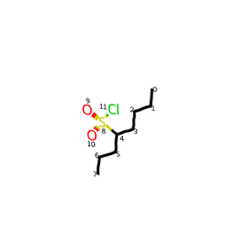 CCCCC(CCC)S(=O)(=O)Cl